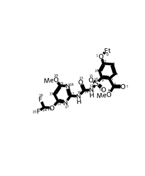 CCOc1ccc(C(=O)OC)c(S(=O)(=O)NC(=O)Nc2nc(OC)cc(OC(F)F)n2)c1